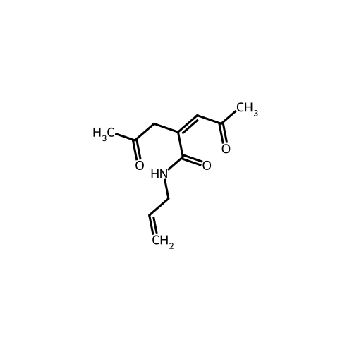 C=CCNC(=O)/C(=C\C(C)=O)CC(C)=O